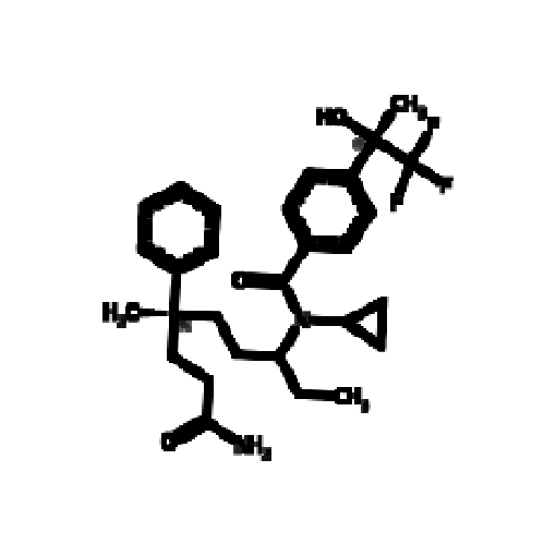 CCC(CC[C@@](C)(CCC(N)=O)c1ccccc1)N(C(=O)c1ccc([C@](C)(O)C(F)(F)F)cc1)C1CC1